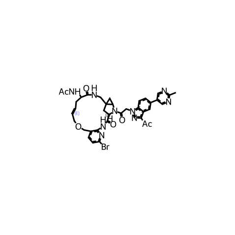 CC(=O)NC1C/C=C/COCc2ccc(Br)nc2NC(=O)[C@@H]2CC3(CNC1=O)CC3N2C(=O)Cn1nc(C(C)=O)c2cc(-c3cnc(C)nc3)ccc21